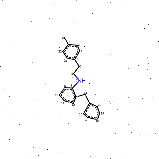 Cc1ccc(CCNc2ccccc2Cc2ccccc2)cc1